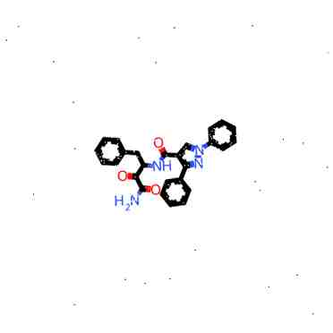 NC(=O)C(=O)C(Cc1ccccc1)NC(=O)c1cn(-c2ccccc2)nc1-c1ccccc1